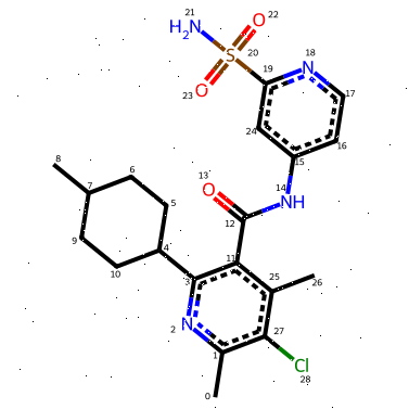 Cc1nc(C2CCC(C)CC2)c(C(=O)Nc2ccnc(S(N)(=O)=O)c2)c(C)c1Cl